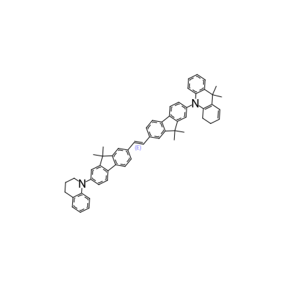 CC1(C)C2=C(CCC=C2)N(c2ccc3c(c2)C(C)(C)c2cc(/C=C/c4ccc5c(c4)C(C)(C)c4cc(N6CCCc7ccccc76)ccc4-5)ccc2-3)c2ccccc21